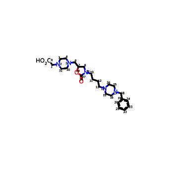 O=C(O)CN1CCN(CC2CN(CCCCN3CCN(Cc4ccccc4)CC3)C(=O)O2)CC1